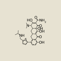 CC(C)NCc1ccc(-c2ccc(O)c3c2CC2CC4C(N(C)C)C(O)=C(C(N)=O)C(=O)C4(O)C(O)=C2C3=O)s1